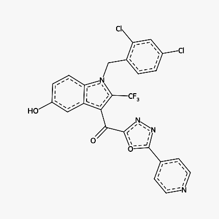 O=C(c1nnc(-c2ccncc2)o1)c1c(C(F)(F)F)n(Cc2ccc(Cl)cc2Cl)c2ccc(O)cc12